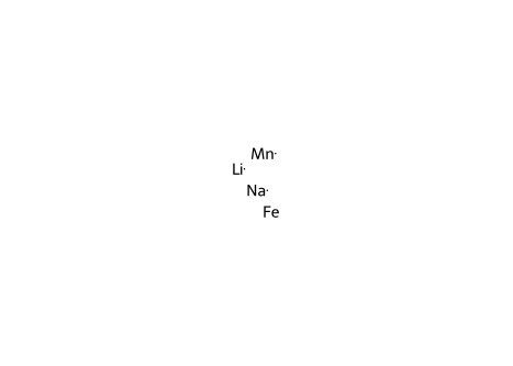 [Fe].[Li].[Mn].[Na]